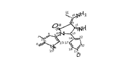 C=C1C(C)=CC(N2C(=O)/C(=C(\C)N)C(=N)C2c2ccc(Cl)cc2)=CN1C